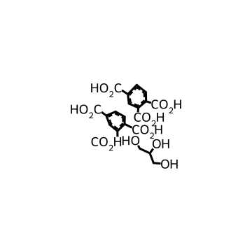 O=C(O)c1ccc(C(=O)O)c(C(=O)O)c1.O=C(O)c1ccc(C(=O)O)c(C(=O)O)c1.OCC(O)CO